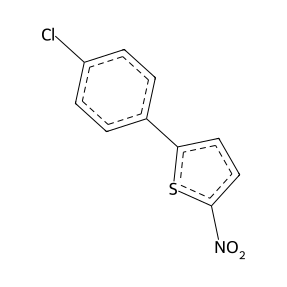 O=[N+]([O-])c1ccc(-c2ccc(Cl)cc2)s1